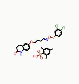 Cc1cc(C)c(S(=O)(=O)O)c(C)c1.O=C1CCc2cc(OCCCC=NOSc3ccc(Cl)c(Cl)c3)ccc2N1